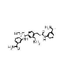 C[C@@H](N)c1cccc(NC(=O)CCc2ccc(C(Nc3cccc(C(N)=O)c3)C(=O)O)cc2CN)c1